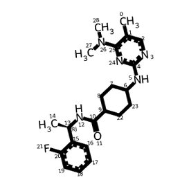 Cc1cnc(NC2CCC(C(=O)N[C@H](C)c3ccccc3F)CC2)nc1N(C)C